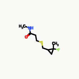 CNC(=O)CCSCC1CC1(C)F